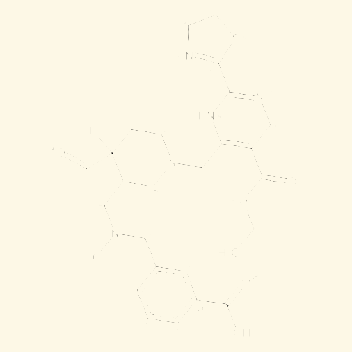 CCOC(=O)C1=C(CN2CCC(F)(C=O)C(CN(C)Cc3cccc(C(=O)O)c3)C2)NC(C2=NCCS2)=NC1